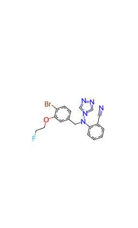 N#Cc1ccccc1N(Cc1ccc(Br)c(OCCF)c1)n1cnnc1